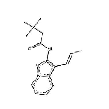 CC=Cc1c(NC(=O)CC(C)(C)C)nn2cccnc12